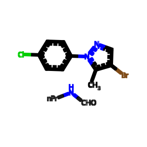 CCCNC=O.Cc1c(Br)cnn1-c1ccc(Cl)cc1